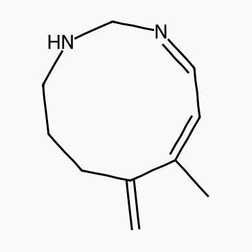 C=C1CCCNC/N=C\C=C/1C